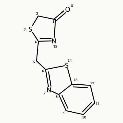 O=C1CSC(Cc2nc3ccccc3s2)=N1